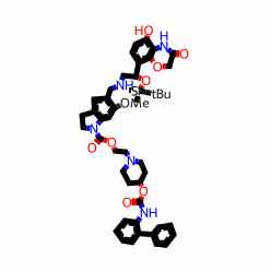 COc1cc2c(cc1CNCC(O[Si](C)(C)C(C)(C)C)c1ccc(O)c3c1OCC(=O)N3)CCN2C(=O)OCCN1CCC(OC(=O)Nc2ccccc2-c2ccccc2)CC1